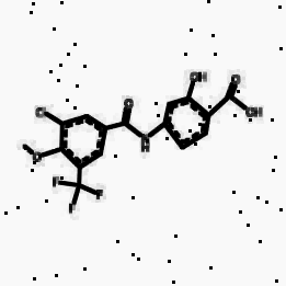 COc1c(Cl)cc(C(=O)Nc2ccc(C(=O)O)c(O)c2)cc1C(F)(F)F